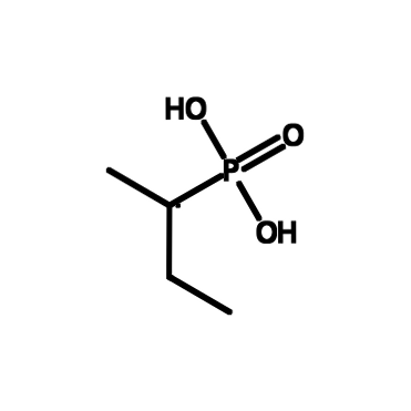 CC[C](C)P(=O)(O)O